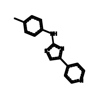 Cc1ccc(Nc2nc(-c3ccncc3)cs2)cc1